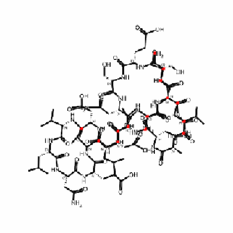 CC(C)C[C@H](NC(=O)[C@@H](NC(=O)[C@H](CC(=O)O)NC(=O)[C@H](C)NC(=O)[C@@H](NC(=O)[C@H](CCCCN)NC(=O)[C@H](C)NC(=O)[C@H](CC(N)=O)NC(=O)[C@H](CO)NC(=O)[C@H](CCC(=O)O)NC(=O)[C@H](CO)NC(=O)[C@H](CCC(=O)O)NC(=O)CN)C(C)C)C(C)C)C(=O)N[C@@H](CC(=O)O)C(=O)N[C@H](C(=O)N[C@@H](CC(C)C)C(=O)N[C@@H](CC(N)=O)C(=O)N[C@@H](CCC(=O)O)C(=O)N[C@H](C(=O)N[C@@H](CC(=O)O)C(=O)O)C(C)C)C(C)C